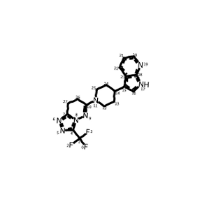 FC(F)(F)c1nnc2n1N=C(N1CCC(c3c[nH]c4ncccc34)CC1)CC2